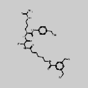 CC(C)[C@H](NC(=O)CCCCCNC(=O)c1cc(CBr)cc(CBr)c1)C(=O)N[C@@H](CCCNC(N)=O)C(=O)Nc1ccc(CO)cc1